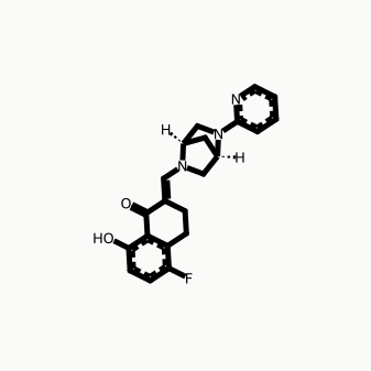 O=C1/C(=C/N2C[C@H]3C[C@@H]2CN3c2ccccn2)CCc2c(F)ccc(O)c21